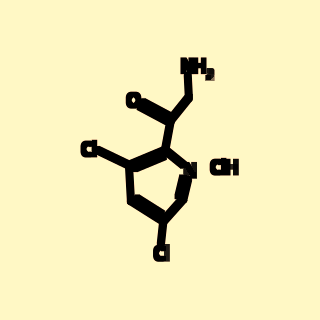 Cl.NCC(=O)c1ncc(Cl)cc1Cl